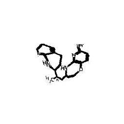 CC(C)c1ccc2c(n1)NC(C[C@@H](C)C1CCc3cccnc3N1)CO2